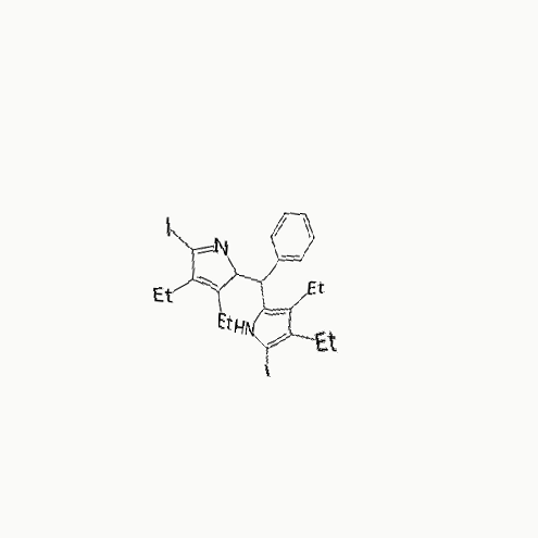 CCC1=C(CC)C(C(c2ccccc2)c2[nH]c(I)c(CC)c2CC)N=C1I